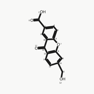 O=C(O)c1ccc2oc3cc(CO)ccc3c(=O)c2c1